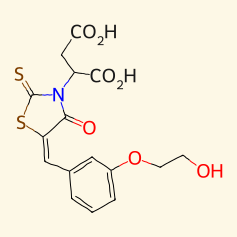 O=C(O)CC(C(=O)O)N1C(=O)/C(=C\c2cccc(OCCO)c2)SC1=S